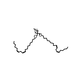 CCCCC/C=C\C/C=C\CCCCCCCCOCC1(COCCCCCCCC/C=C\C/C=C\CCCCC)CN(C)C1